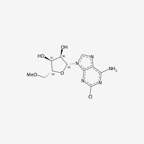 COC[C@H]1O[C@@H](n2cnc3c(N)nc(Cl)nc32)[C@H](O)[C@@H]1O